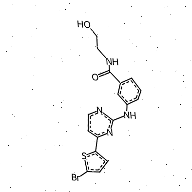 O=C(NCCO)c1cccc(Nc2nccc(-c3ccc(Br)s3)n2)c1